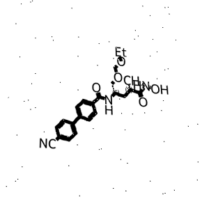 CCOCOC[C@H](C[C@H](C)C(=O)NO)NC(=O)c1ccc(-c2ccc(C#N)cc2)cc1